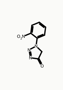 O=C1CN(c2ccccc2[N+](=O)[O-])N=N1